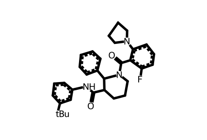 CC(C)(C)c1cccc(NC(=O)C2CCCN(C(=O)c3c(F)cccc3N3CCCC3)C2c2ccccc2)c1